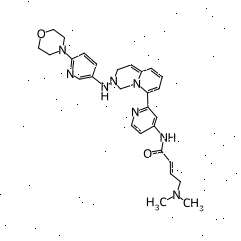 CN(C)C/C=C/C(=O)Nc1ccnc(C2=CC=CC3=CCN(Nc4ccc(N5CCOCC5)nc4)CN32)c1